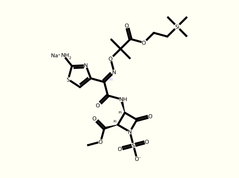 COC(=O)[C@H]1[C@@H](NC(=O)/C(=N/OC(C)(C)C(=O)OCC[Si](C)(C)C)c2csc(N)n2)C(=O)N1S(=O)(=O)[O-].[Na+]